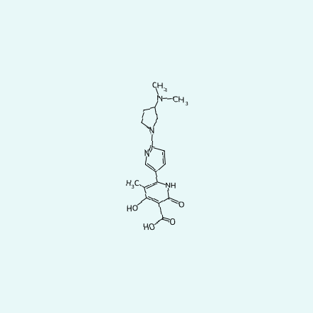 Cc1c(-c2ccc(N3CCC(N(C)C)C3)nc2)[nH]c(=O)c(C(=O)O)c1O